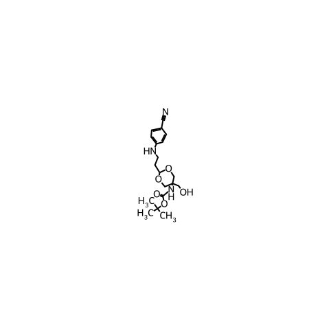 CC(C)(C)OC(=O)NC1(CO)COC(CCNc2ccc(C#N)cc2)OC1